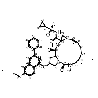 COc1ccc2c(OC3CC4C(=O)NC5(C(=O)NS(=O)(=O)C6CC6)CC5C=CCCCCN(C)C(=O)N4C3)nc(-c3ccccc3)cc2c1